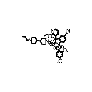 CCCN1CCC(C2CCN(C(=O)OC3(c4cccnc4OCC)C(=O)N(S(=O)(=O)c4ccc(OC)cc4OC)c4ccc(C#N)cc43)CC2)CC1